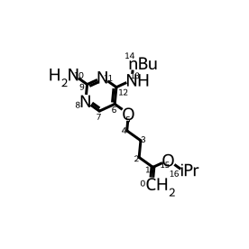 C=C(CCCOc1cnc(N)nc1NCCCC)OC(C)C